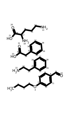 CCCCOc1ccc(C=O)cc1.NCCCC(N)C(=O)O.NCCc1ccccc1.O=C(O)Cc1ccccc1